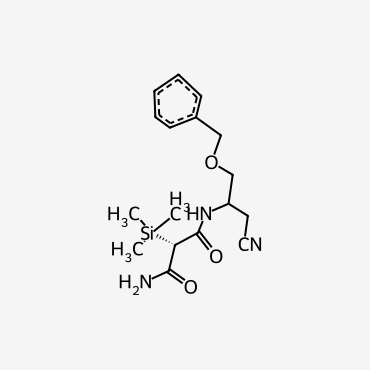 C[Si](C)(C)[C@@H](C(N)=O)C(=O)NC(CC#N)COCc1ccccc1